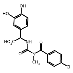 CN(C(=O)NC(C(=O)O)c1ccc(O)c(O)c1)C(=O)c1ccc(Cl)cc1